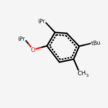 Cc1cc(OC(C)C)c(C(C)C)cc1C(C)(C)C